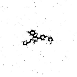 CN1CCC(Nc2ccc(-c3nc(=O)n(CCC4CCCO4)c4c3oc3ccc(Cl)cc34)cn2)C1